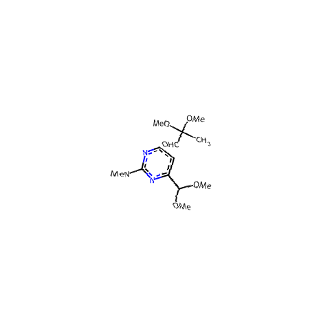 CNc1nccc(C(OC)OC)n1.COC(C)(C=O)OC